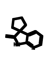 C=C1Nc2ncccc2C12CCCC2